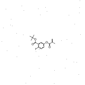 C=C(C)C(=O)Oc1ccc(I)c(C(=O)OC(C)(C)C)c1